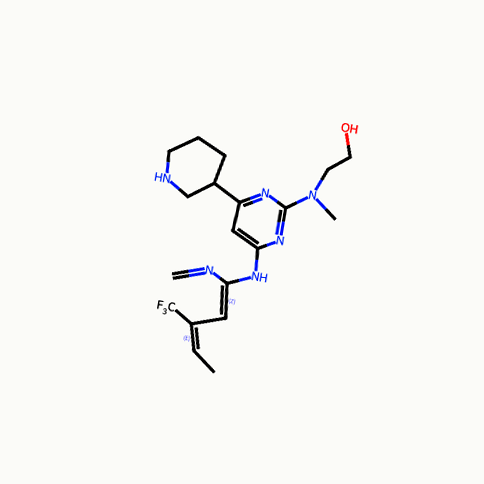 C=N/C(=C\C(=C/C)C(F)(F)F)Nc1cc(C2CCCNC2)nc(N(C)CCO)n1